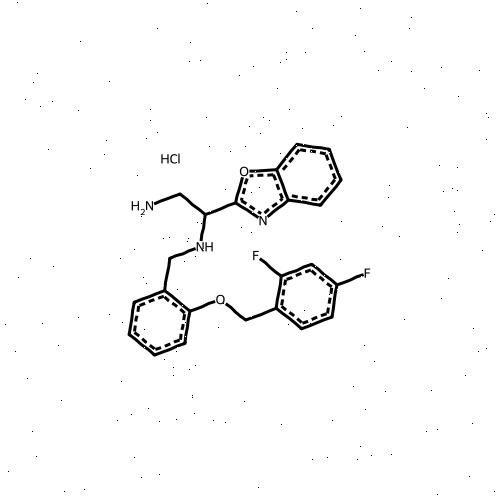 Cl.NCC(NCc1ccccc1OCc1ccc(F)cc1F)c1nc2ccccc2o1